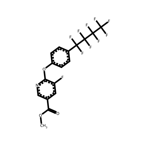 COC(=O)c1cnc(Oc2ccc(C(F)(F)C(F)(F)C(F)(F)C(F)(F)F)cc2)c(F)c1